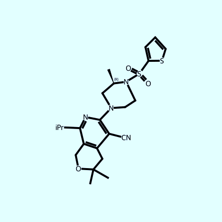 CC(C)c1nc(N2CCN(S(=O)(=O)c3cccs3)[C@H](C)C2)c(C#N)c2c1COC(C)(C)C2